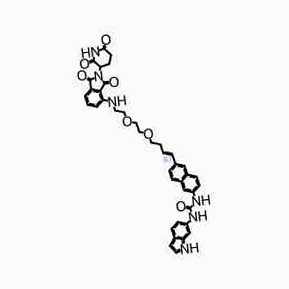 O=C1CCC(N2C(=O)c3cccc(NCCOCCOCC/C=C/c4ccc5cc(NC(=O)Nc6ccc7cc[nH]c7c6)ccc5c4)c3C2=O)C(=O)N1